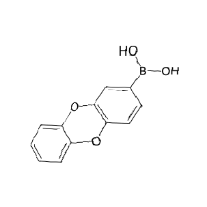 OB(O)c1ccc2c(c1)Oc1ccccc1O2